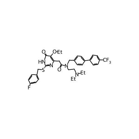 CCOc1c(CC(=O)N(CCN(CC)CC)Cc2ccc(-c3ccc(C(F)(F)F)cc3)cc2)nc(SCc2ccc(F)cc2)[nH]c1=O